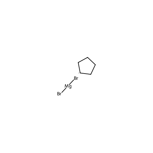 [Br][Mg][Br].[CH]1CCCC1